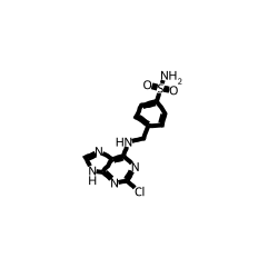 NS(=O)(=O)c1ccc(CNc2nc(Cl)nc3[nH]cnc23)cc1